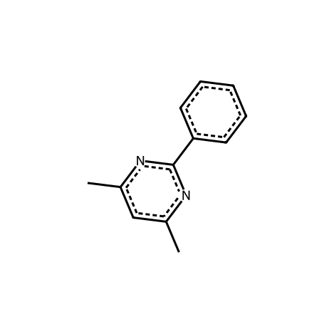 Cc1cc(C)nc(-c2ccccc2)n1